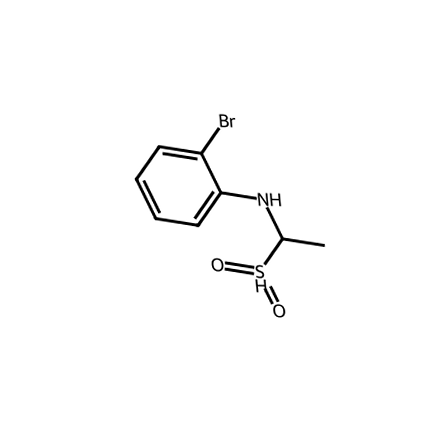 CC(Nc1ccccc1Br)[SH](=O)=O